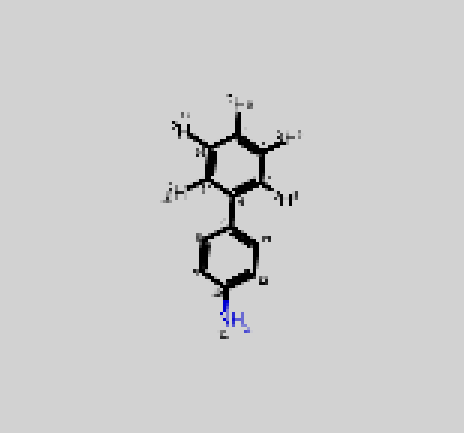 [2H]c1c([2H])c([2H])c(-c2ccc(N)cc2)c([2H])c1[2H]